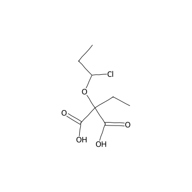 CCC(Cl)OC(CC)(C(=O)O)C(=O)O